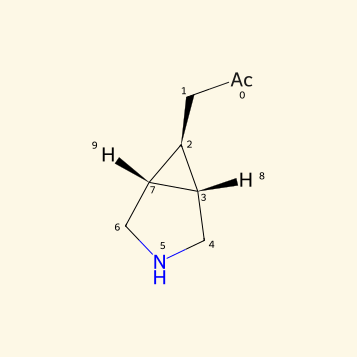 CC(=O)C[C@H]1[C@@H]2CNC[C@@H]21